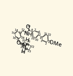 COc1ccc(-c2ccc(C(=O)NCc3cccc(O[C@@H]4C[C@H]5CC[C@@H](C4)N5C)c3)cc2)cc1